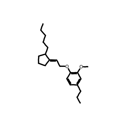 CCCCCC1CCCC1=CCOc1ccc(CCC)cc1OC